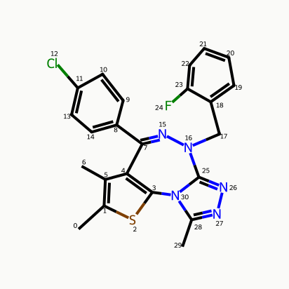 Cc1sc2c(c1C)C(c1ccc(Cl)cc1)=NN(Cc1ccccc1F)c1nnc(C)n1-2